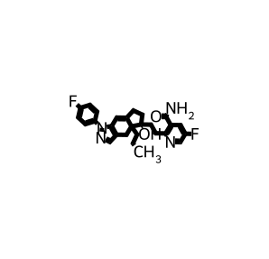 CCCC12Cc3cnn(-c4ccc(F)cc4)c3C=C1CC[C@@]2(O)CCc1ncc(F)cc1C(N)=O